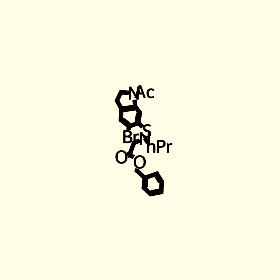 CCCN(CC(=O)OCc1ccccc1)Sc1cc2c(cc1Br)CCN2C(C)=O